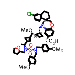 COc1ccc(CN(Cc2ccc(OC)cc2)S(=O)(=O)N(CC2CCCO2)C(C)C2C=C(C(OC)[C@@H]3CC[C@H]3CN3C[C@@]4(CCCc5cc(Cl)ccc54)COc4ccc(C(=O)O)cc43)C2)cc1